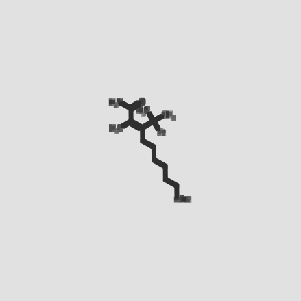 CCCCCCCCCCCCCCCC/C(=C(\C)C(N)=O)C(C)(C)CC